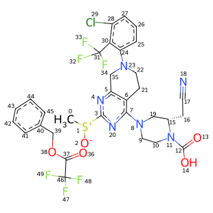 C[S+]([O-])c1nc2c(c(N3CCN(C(=O)O)[C@@H](CC#N)C3)n1)CCN(c1cccc(Cl)c1C(F)(F)F)C2.O=C(OCc1ccccc1)C(F)(F)F